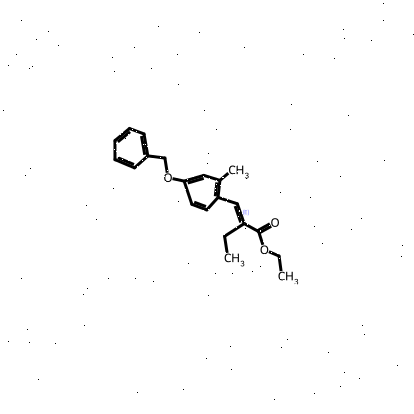 CCOC(=O)/C(=C/c1ccc(OCc2ccccc2)cc1C)CC